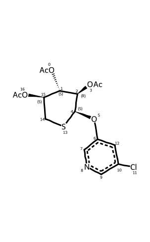 CC(=O)O[C@@H]1[C@@H](OC(C)=O)[C@@H](Oc2cncc(Cl)c2)SC[C@H]1OC(C)=O